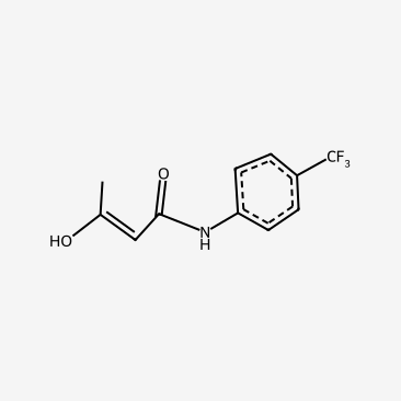 C/C(O)=C\C(=O)Nc1ccc(C(F)(F)F)cc1